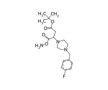 CC(C)(C)OC(=O)CC(C(=O)ON)N1CCN(Cc2ccc(F)cc2)CC1